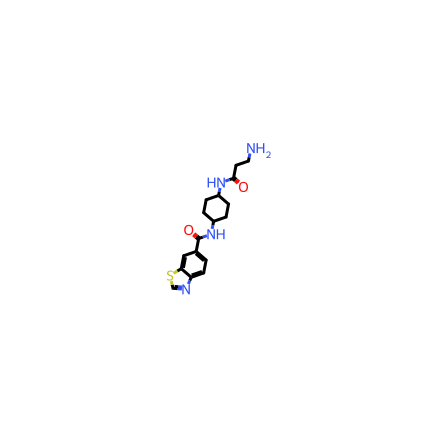 NCCC(=O)NC1CCC(NC(=O)c2ccc3ncsc3c2)CC1